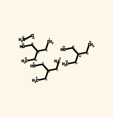 CCC(CC)CO.CCC(CC)CO.CCC(CC)CO.[SiH3]Cl